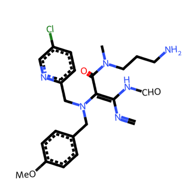 C=N/C(NC=O)=C(/C(=O)N(C)CCCN)N(Cc1ccc(OC)cc1)Cc1ccc(Cl)cn1